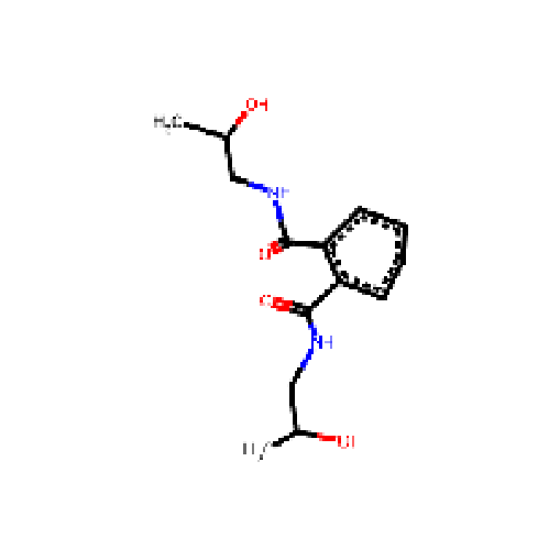 CC(O)CNC(=O)c1ccccc1C(=O)NCC(C)O